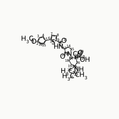 COc1ccc(-c2ccc(C(=O)NC3CCN([C@H]4CC[C@@H](NC(C)(C)C)C[C@@]4(C)C(=O)O)C3=O)s2)cc1